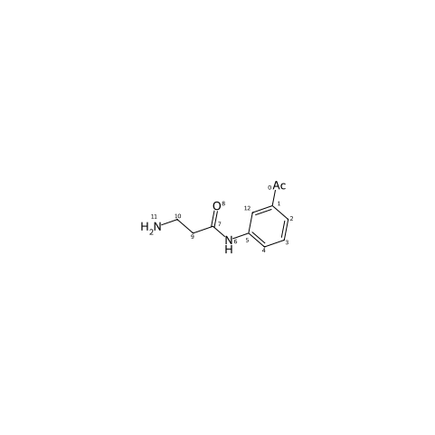 CC(=O)c1cccc(NC(=O)CCN)c1